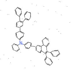 c1ccc(-c2ccc(-c3ccc(N(c4ccccc4)c4ccc(-c5ccc6c(-c7ccccc7)c(-c7ccccc7)c7ccccc7c6c5)cc4)cc3)cc2-c2ccccc2)cc1